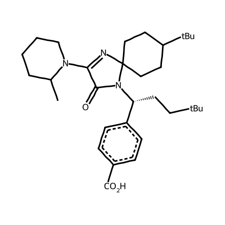 CC1CCCCN1C1=NC2(CCC(C(C)(C)C)CC2)N([C@H](CCC(C)(C)C)c2ccc(C(=O)O)cc2)C1=O